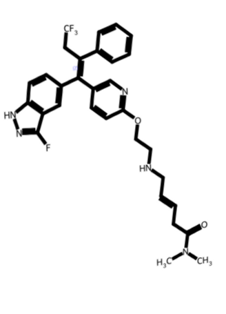 CN(C)C(=O)CC=CCNCCOc1ccc(/C(=C(/CC(F)(F)F)c2ccccc2)c2ccc3[nH]nc(F)c3c2)cn1